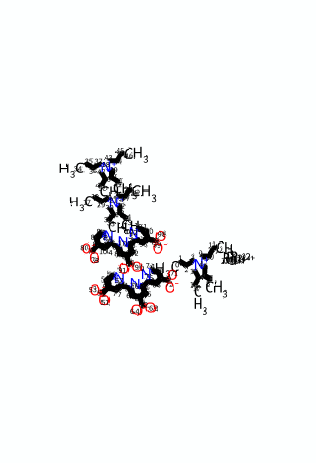 CCCC[N+](CCCC)(CCCC)CCCC.CCCC[N+](CCCC)(CCCC)CCCC.CCCC[N+](CCCC)(CCCC)CCCC.O=C([O-])c1ccnc(-c2cc(C(=O)[O-])cc(-c3cc(C(=O)[O-])ccn3)n2)c1.O=C([O-])c1ccnc(-c2cc(C(=O)[O-])cc(-c3cc(C(=O)[O-])ccn3)n2)c1.[Ru+2].[Ru+2].[Ru+2]